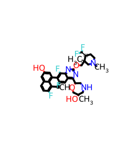 C#Cc1c(F)ccc2cc(O)cc(-c3c(F)cc4c(C5CNCC(C)(O)CO5)nc(OC[C@]5(C)CN(C)CC[C@@H]5C(F)F)nc4c3F)c12